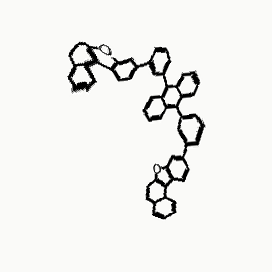 C1=CC2C=Cc3oc4cc(-c5cccc(-c6c7ccccc7c(-c7cccc(-c8ccc9c(c8)oc8ccc%10ccccc%10c89)c7)c7ccccc67)c5)ccc4c3C2C=C1